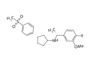 COc1cc([C@@H](C)NC2CC[C@H](c3ccc(S(C)(=O)=O)cc3)C2)ccc1F